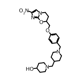 O=[N+]([O-])c1cn2c(n1)OC(COc1ccc(CN3CCC(CN4CCC(O)CC4)CC3)cc1)CC2